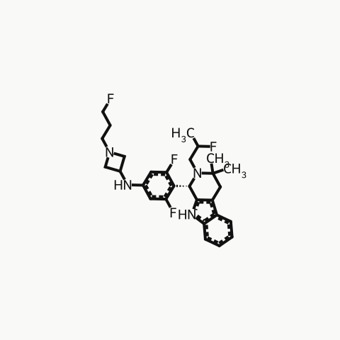 CC(F)CN1[C@@H](c2c(F)cc(NC3CN(CCCF)C3)cc2F)c2[nH]c3ccccc3c2CC1(C)C